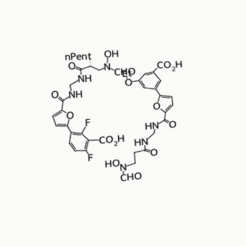 CCCCC[C@H](CN(O)C=O)C(=O)NCNC(=O)c1ccc(-c2ccc(F)c(C(=O)O)c2F)o1.CCOc1cc(C(=O)O)cc(-c2ccc(C(=O)NCNC(=O)CCN(O)C=O)o2)c1